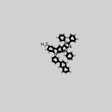 CC1C=c2c(n(-c3cccc(-c4ccc5ccccc5c4)c3)c3cc4c(cc23)c2c(nc(-c3ccccc3)n2-c2ccccc2)n4-c2ccccc2)=CC1